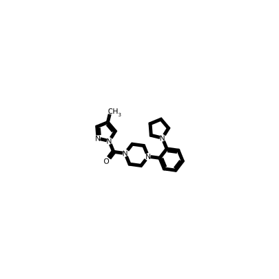 Cc1cnn(C(=O)N2CCN(c3ccccc3N3CCCC3)CC2)c1